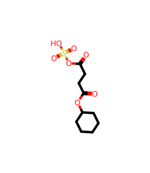 O=C(CCC(=O)OS(=O)(=O)O)OC1CCCCC1